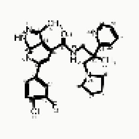 Cc1n[nH]c2nc(-c3ccc(O)c(F)c3)cc(C(=O)NCC(C)(CN3CCCC3)c3ccccn3)c12